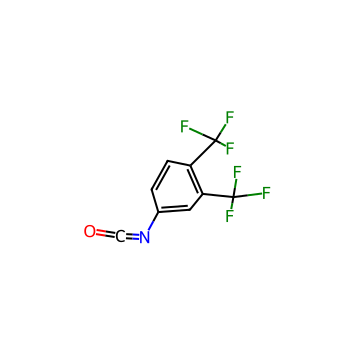 O=C=Nc1ccc(C(F)(F)F)c(C(F)(F)F)c1